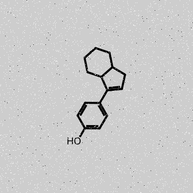 Oc1ccc(C2=CCC3CCCCC23)cc1